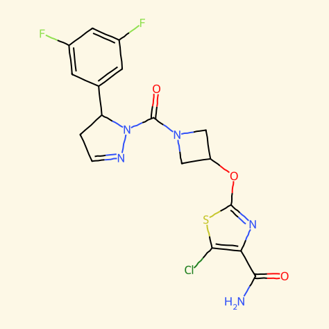 NC(=O)c1nc(OC2CN(C(=O)N3N=CCC3c3cc(F)cc(F)c3)C2)sc1Cl